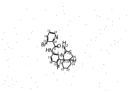 NC1=N[C@@]2(c3cc(NC(=O)c4ncccc4Br)ccc3F)CCCC[C@H]2CS1